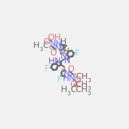 CC[C@H](NC(=O)OC(C)(C)C)C(=O)N1C[C@@H](F)C[C@H]1Cc1c(-c2nc3cc(F)ccc3n2C[C@@H]2[C@H]3C[C@H]3CN2C(=O)[C@H](CC)NC(=O)O)[nH]c2cc(F)ccc12